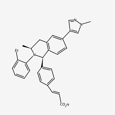 CCc1ccccc1N1[C@H](c2ccc(/C=C/C(=O)O)cc2)c2ccc(-c3cnn(C)c3)cc2C[C@@H]1C